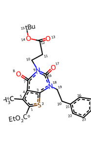 CCOC(=O)c1sc2c(c1C)c(=O)n(CCC(=O)OC(C)(C)C)c(=O)n2CCc1ccccc1